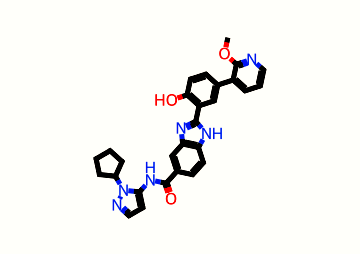 COc1ncccc1-c1ccc(O)c(-c2nc3cc(C(=O)Nc4ccnn4C4CCCC4)ccc3[nH]2)c1